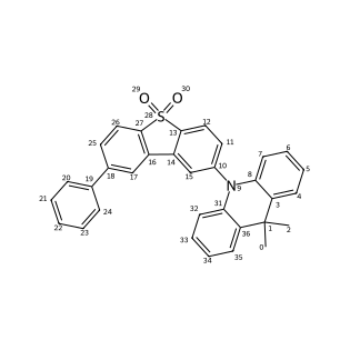 CC1(C)c2ccccc2N(c2ccc3c(c2)-c2cc(-c4ccccc4)ccc2S3(=O)=O)c2ccccc21